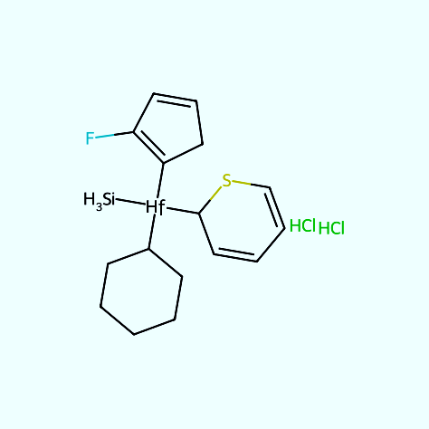 Cl.Cl.FC1=[C]([Hf]([SiH3])([CH]2CCCCC2)[CH]2C=CC=CS2)CC=C1